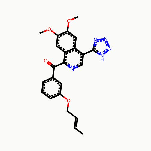 C/C=C/COc1cccc(C(=O)c2ncc(-c3nnn[nH]3)c3cc(OC)c(OC)cc23)c1